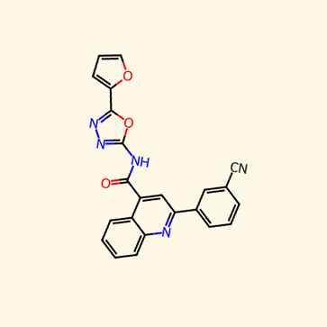 N#Cc1cccc(-c2cc(C(=O)Nc3nnc(-c4ccco4)o3)c3ccccc3n2)c1